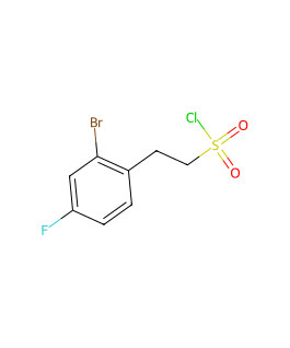 O=S(=O)(Cl)CCc1ccc(F)cc1Br